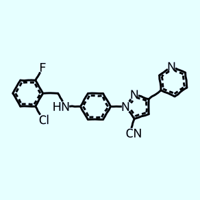 N#Cc1cc(-c2cccnc2)nn1-c1ccc(NCc2c(F)cccc2Cl)cc1